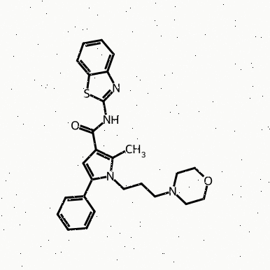 Cc1c(C(=O)Nc2nc3ccccc3s2)cc(-c2ccccc2)n1CCCN1CCOCC1